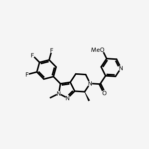 COc1cncc(C(=O)N2CCc3c(nn(C)c3-c3cc(F)c(F)c(F)c3)[C@@H]2C)c1